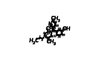 C=CCN1CC(C)N(C(c2ccc(C)nc2)c2cccc(O)c2)CC1C